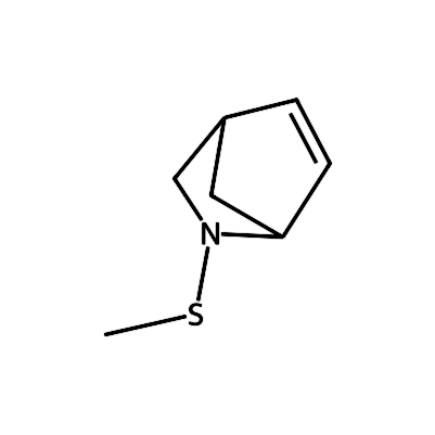 CSN1CC2C=CC1C2